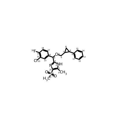 Cc1[nH]c(C(OCC2CC2c2ccccc2)c2ccc(F)c(Cl)c2)nc1S(C)(=O)=O